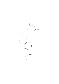 CC(=O)NC1(C)CC(CN2CCc3cc(C(=O)NO)cnc3C2)C1